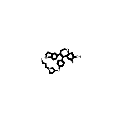 Oc1cc2c(cc1F)C(c1ccc(O[C@H]3CCN(CCCF)C3)cc1)=C(c1ccc3c(c1)CCN3)CCO2